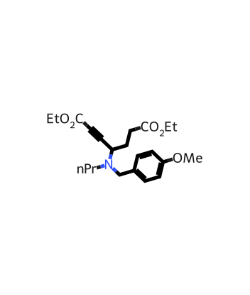 CCCN(Cc1ccc(OC)cc1)C(C#CC(=O)OCC)CCC(=O)OCC